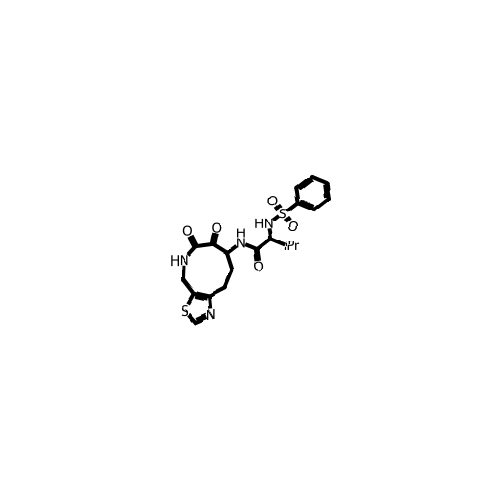 CC(C)C(NS(=O)(=O)c1ccccc1)C(=O)NC1CCc2ncsc2CNC(=O)C1=O